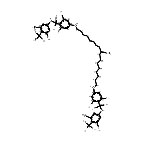 CC(CCCCCCCCOc1cc(F)c(C(F)(F)Oc2cc(F)c(C(F)(F)F)c(F)c2)c(F)c1)CCCCCCCCOc1cc(F)c(C(F)(F)Oc2cc(F)c(C(F)(F)F)c(F)c2)c(F)c1